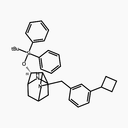 CC(C)(C)[Si](O[C@H]1C2CC3CC(N2)C1N(Cc1cccc(C2CCC2)c1)C3)(c1ccccc1)c1ccccc1